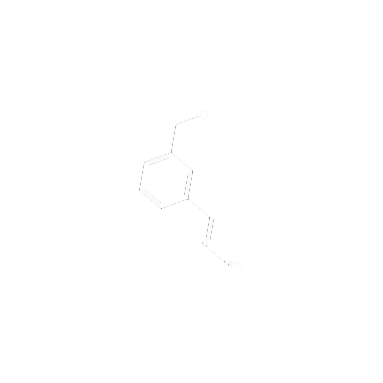 NN=Cc1cccc(CCl)c1